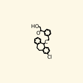 O=C(CO)c1cccc(C=C=C2c3ccccc3CCc3cc(Cl)ccc32)c1